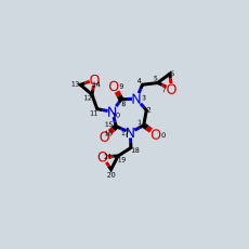 O=C1CN(CC2CO2)C(=O)N(CC2CO2)C(=O)N1CC1CO1